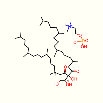 CC(C)CCCC(C)CCCC(C)CCCC(C)CC(=O)C(O)(C(=O)C[C@@H](C)CCCC(C)CCCC(C)CCCC(C)C)[C@@H](O)CO.C[N+](C)(C)CCOP(=O)([O-])O